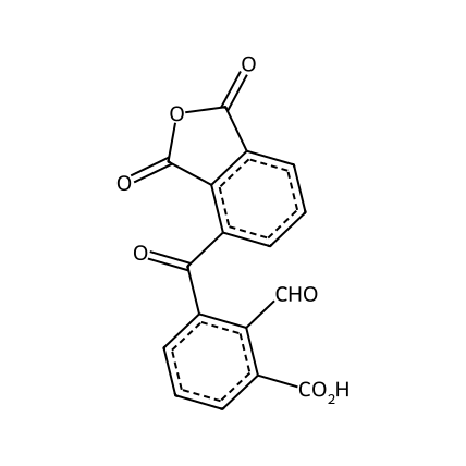 O=Cc1c(C(=O)O)cccc1C(=O)c1cccc2c1C(=O)OC2=O